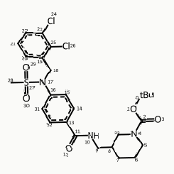 CC(C)(C)OC(=O)N1CCCC(CNC(=O)c2ccc(N(Cc3cccc(Cl)c3Cl)S(C)(=O)=O)cc2)C1